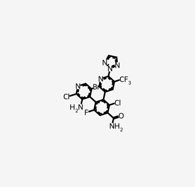 NC(=O)c1cc(F)c(-c2c(Br)cnc(Cl)c2N)c(-c2cnc(-n3nccn3)c(C(F)(F)F)c2)c1Cl